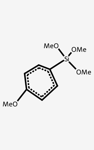 COc1ccc([Si](OC)(OC)OC)cc1